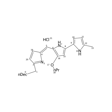 CCCCCCCCCCCC1=NC(=Cc2[nH]c(-c3ccc(C)[nH]3)cc2OCCC)C=C1.Cl